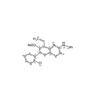 C=Cc1c(OC)c(-c2ccccc2Cl)cc2cnc(NC(C)C)nc12